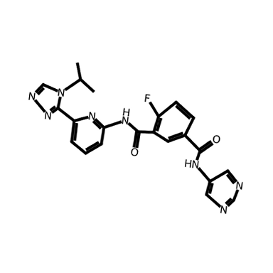 CC(C)n1cnnc1-c1cccc(NC(=O)c2cc(C(=O)Nc3cncnc3)ccc2F)n1